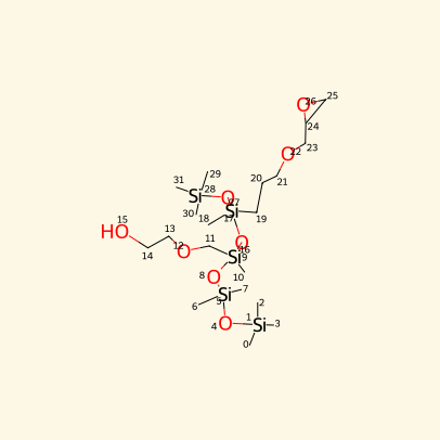 C[Si](C)(C)O[Si](C)(C)O[Si](C)(COCCO)O[Si](C)(CCCOCC1CO1)O[Si](C)(C)C